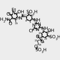 CCn1c(O)c(/N=N/c2ccc(Nc3nc(Cl)nc(Nc4cc(S(=O)(=O)CCOS(=O)(=O)O)cc(S(=O)(=O)O)c4O)n3)cc2S(=O)(=O)O)c(C)c(C(N)=O)c1=O